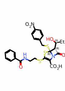 CC[C@H](O)[C@@H]1C(=O)N2C(C(=O)O)=C(SCCNC(=O)c3ccccc3)S[C@]12SCc1ccc([N+](=O)[O-])cc1